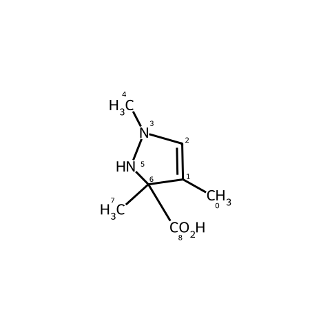 CC1=CN(C)NC1(C)C(=O)O